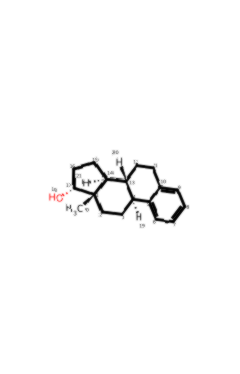 C[C@]12CC[C@@H]3c4ccccc4CC[C@H]3[C@@H]1CC[C@H]2O